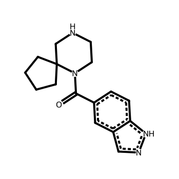 O=C(c1ccc2[nH]ncc2c1)N1CCNCC12CCCC2